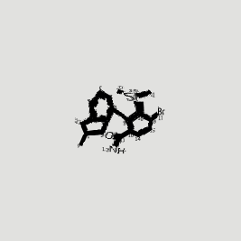 CC1=Cc2c(cccc2C2=C(C([NH])=O)C=CC(Br)C2=[Si](C)C)C1